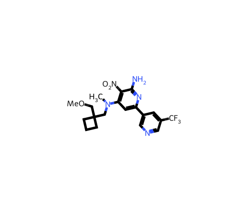 COCC1(CN(C)c2cc(-c3cncc(C(F)(F)F)c3)nc(N)c2[N+](=O)[O-])CCC1